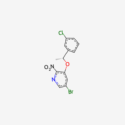 C[C@@H](Oc1cc(Br)cnc1[N+](=O)[O-])c1cccc(Cl)c1